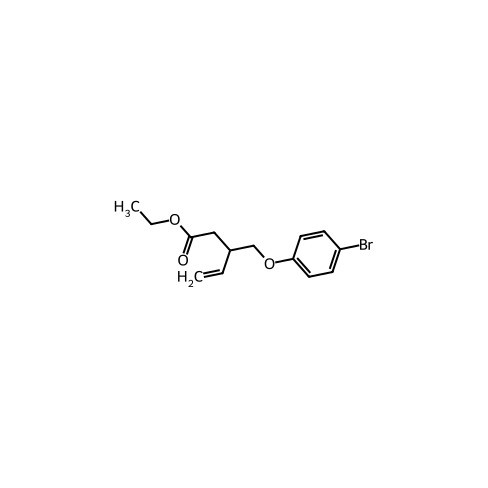 C=CC(COc1ccc(Br)cc1)CC(=O)OCC